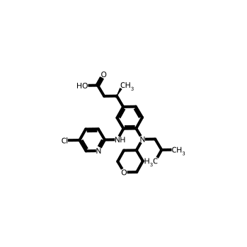 CC(C)CN(c1ccc([C@H](C)CC(=O)O)cc1Nc1ccc(Cl)cn1)C1CCOCC1